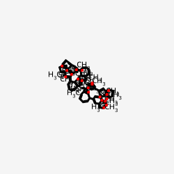 CC1=CC2=C(C=CC=CC2c2cc(S[Si](C)(C)C)c3ccccc3c2)[C]12[SiH](C)[C]1(C(C)=CC3=C1C=CC=CC3c1cc(S[Si](C)(C)C)c3ccccc3c1)[Zr]21[C]2(C(C)=CC3=C2C=CC=CC3c2cc(S[Si](C)(C)C)c3ccccc3c2)[SiH](C)[C]12C(C)=CC1=C2C=CC=CC1c1cc(S[Si](C)(C)C)c2ccccc2c1